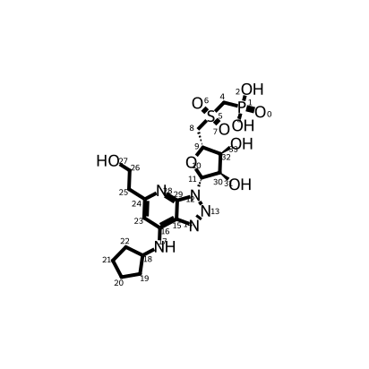 O=P(O)(O)CS(=O)(=O)C[C@H]1O[C@@H](n2nnc3c(NC4CCCC4)cc(CCO)nc32)[C@H](O)[C@@H]1O